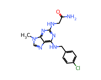 Cn1cnc2c(NCc3ccc(Cl)cc3)nc(NCC(N)=O)nc21